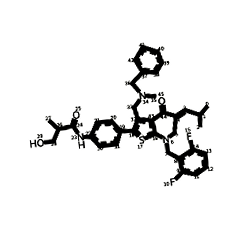 CC(C)C=C1CN(Cc2c(F)cccc2F)c2sc(-c3ccc(NC(=O)C(C)CO)cc3)c(CN(C)Cc3ccccc3)c2C1=O